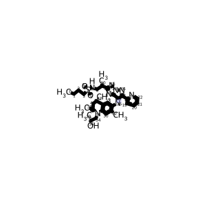 CCCCS(=O)(=O)NCC(C)c1nc2n(n1)N=C(c1ccccn1)/C2=N/c1cc2c(cc1C)N(CCO)C(C)(C)CC2C